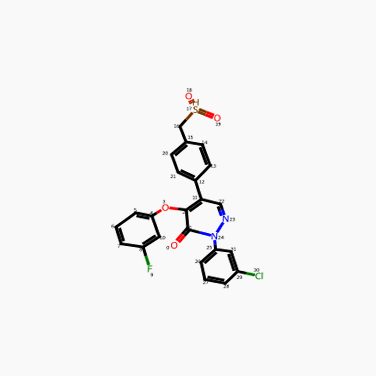 O=c1c(Oc2cccc(F)c2)c(-c2ccc(C[SH](=O)=O)cc2)cnn1-c1cccc(Cl)c1